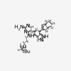 CC(C)(C)[Si](C)(C)OCCCNc1nc(N)ncc1-c1cc(-c2cc3ccccc3s2)c2[nH]ncc2c1